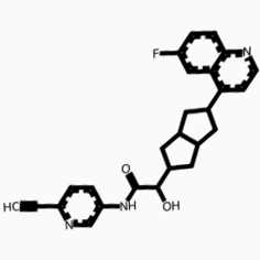 C#Cc1ccc(NC(=O)C(O)C2CC3CC(c4ccnc5ccc(F)cc45)CC3C2)cn1